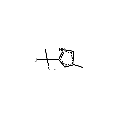 CC(Cl)(C=O)c1cc(I)c[nH]1